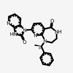 C[C@H](c1ccccc1)N1CCNC(=O)c2ccc(-n3c(=O)[nH]c4ncccc43)nc21